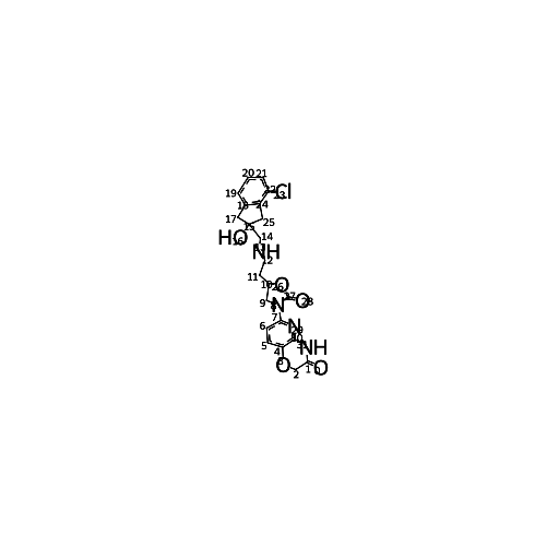 O=C1COc2ccc(N3CC(CCNCC4(O)Cc5cccc(Cl)c5C4)OC3=O)nc2N1